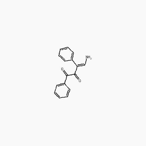 N/C=C(/C(=O)C(=O)c1ccccc1)c1ccccc1